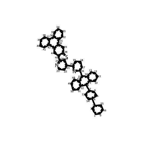 c1ccc(-c2ccc(-c3c4ccccc4c(-c4cccc(-c5ccnc6c5sc5cc7c8ccccc8c8ccccc8c7cc56)n4)c4ccccc34)cc2)cc1